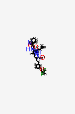 Cc1c(CC(CCc2cccc(OCC(C)(F)F)c2)NC=O)nn(CCC2CC2)c1NC(=O)c1onc2c1C=CCC2